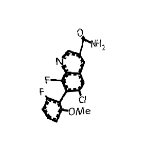 COc1cccc(F)c1-c1c(Cl)cc2cc(C(N)=O)cnc2c1F